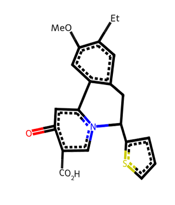 CCc1cc2c(cc1OC)-c1cc(=O)c(C(=O)O)cn1C(c1cccs1)C2